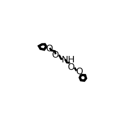 c1ccc(OCCOCCNCCOCCOc2ccccc2)cc1